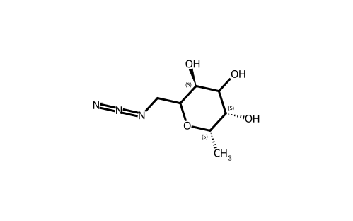 C[C@@H]1OC(CN=[N+]=[N-])[C@@H](O)C(O)[C@@H]1O